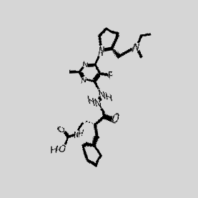 CCN(C)C[C@@H]1CCCN1c1nc(C)nc(NNC(=O)[C@@H](CNC(=O)O)CC2CCCC2)c1F